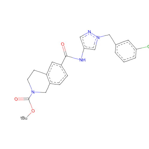 CC(C)(C)OC(=O)N1CCc2cc(C(=O)Nc3cnn(Cc4cccc(Cl)c4)c3)ccc2C1